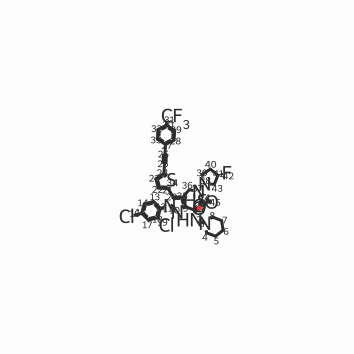 O=C(NN1CCCCC1)c1nn(-c2ccc(Cl)cc2Cl)c(-c2ccc(C#Cc3ccc(C(F)(F)F)cc3)s2)c1CN(N1CC[C@@H](F)C1)[SH](=O)=O